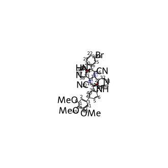 COc1cc(-c2ccc3[nH]cc(/C(C#N)=C(\C(=C(\C#N)c4c[nH]c5ccc(Br)cc45)c4cccnc4)c4cccnc4)c3c2)cc(OC)c1OC